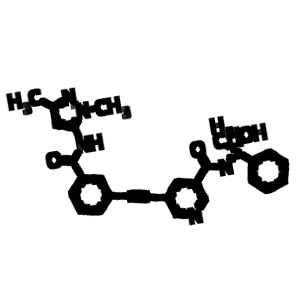 Cc1cc(NC(=O)c2cccc(C#Cc3cncc(C(=O)N=[SH](C)(O)c4ccccc4)c3)c2)n(C)n1